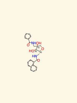 O=C(NC[C@]1(O)CO[C@H](CNC(=O)c2cccc3ccccc23)[C@H]1O)c1ccccc1